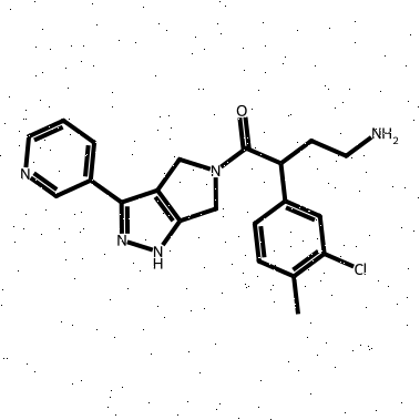 Cc1ccc(C(CCN)C(=O)N2Cc3[nH]nc(-c4cccnc4)c3C2)cc1Cl